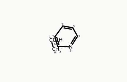 [CH2]C(=O)O.c1ccncc1